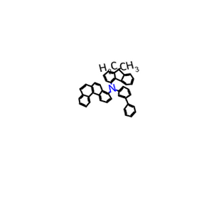 CC1(C)c2ccccc2-c2c(N(c3cccc(-c4ccccc4)c3)c3cccc4c3ccc3ccc5ccccc5c34)cccc21